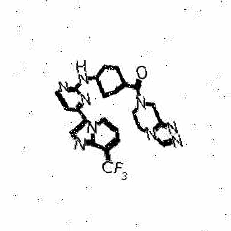 O=C(C1CCC(Nc2nccc(-c3cnc4c(C(F)(F)F)cccn34)n2)CC1)N1CCn2cnnc2C1